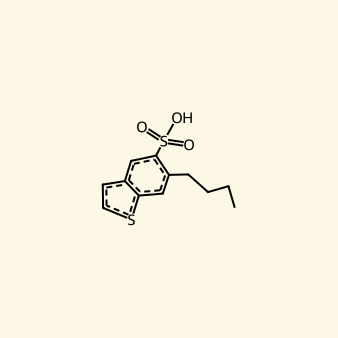 CCCCc1cc2sccc2cc1S(=O)(=O)O